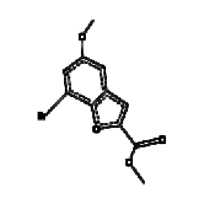 COC(=O)c1cc2cc(OC)cc(Br)c2o1